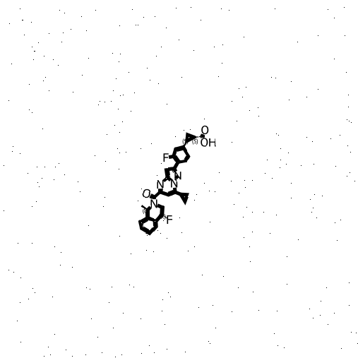 C[C@@H]1c2ccccc2[C@@H](F)CN1C(=O)c1cc(C2CC2)n2nc(-c3ccc([C@H]4C[C@@H]4C(=O)O)cc3F)cc2n1